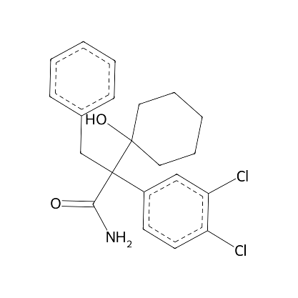 NC(=O)C(Cc1ccccc1)(c1ccc(Cl)c(Cl)c1)C1(O)CCCCC1